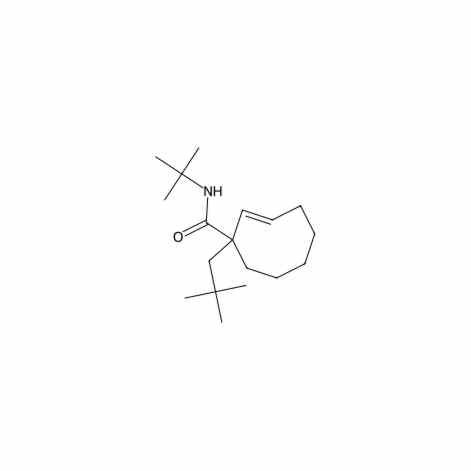 CC(C)(C)CC1(C(=O)NC(C)(C)C)/C=C/CCCCC1